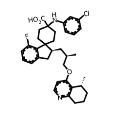 C[C@@H](COc1ccnc2c1[C@H](C)CCC2)C[C@H]1Cc2cccc(F)c2C12CCC(Nc1cccc(Cl)c1)(C(=O)O)CC2